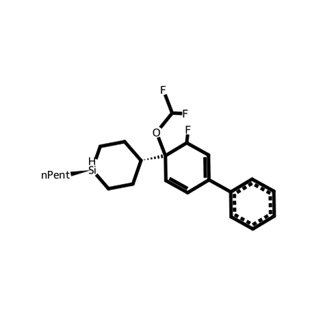 CCCCC[Si@H]1CC[C@H](C2(OC(F)F)C=CC(c3ccccc3)=CC2F)CC1